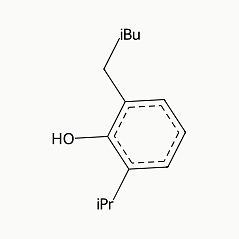 CCC(C)Cc1cccc(C(C)C)c1O